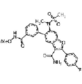 CONC(=O)c1cccc(-c2cc3c(C(N)=O)c(-c4ccc(F)cc4)oc3cc2N(C)S(C)(=O)=O)c1